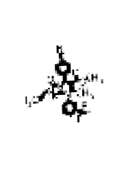 C=CCn1nc2n(c1=O)C(c1ccc(C#N)cc1)C(C(=O)OC)=C(C)N2c1cccc(C(F)(F)F)c1